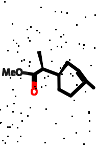 COC(=O)[C@@H](C)[C@H]1CC=C(C)CC1